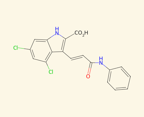 O=C(C=Cc1c(C(=O)O)[nH]c2cc(Cl)cc(Cl)c12)Nc1ccccc1